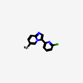 Cc1ccc2ncc(-c3cccc(Br)n3)n2c1